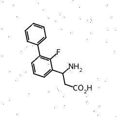 NC(CC(=O)O)c1cccc(-c2ccccc2)c1F